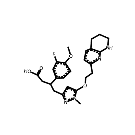 COc1ccc(C(CC(=O)O)Cc2cc(OCCc3ccc4c(n3)NCCC4)n(C)n2)cc1F